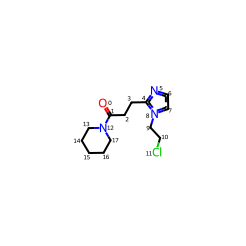 O=C(CCc1nccn1CCCl)N1CCCCC1